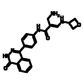 NC/C(=C\NC1COC1)C(=O)Nc1ccc(-c2n[nH]c(=O)c3ccccc23)cc1